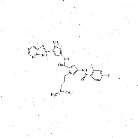 CN(C)CCCn1cc(NC(=O)c2ccc(F)cc2F)cc1C(=O)Nc1cc(-c2nc3cncnc3[nH]2)n(C)c1